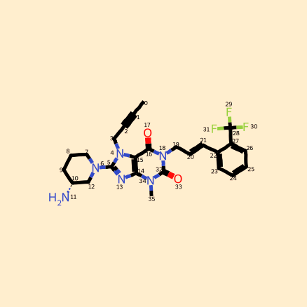 CC#CCn1c(N2CCC[C@@H](N)C2)nc2c1c(=O)n(C/C=C/c1ccccc1C(F)(F)F)c(=O)n2C